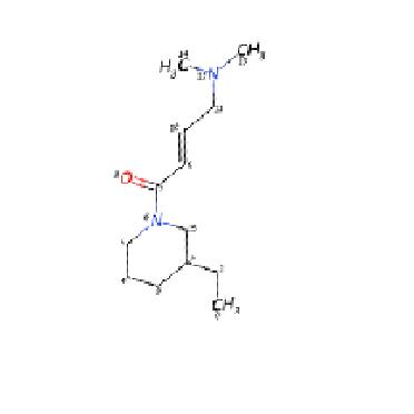 CCC1CCCN(C(=O)/C=C/CN(C)C)C1